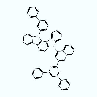 c1ccc(-c2cccc(-n3c4ccccc4c4ccc5c(c6ccccc6n5-c5cc(-c6nc(-c7ccccc7)cc(-c7ccccc7)n6)cc6ccccc56)c43)c2)cc1